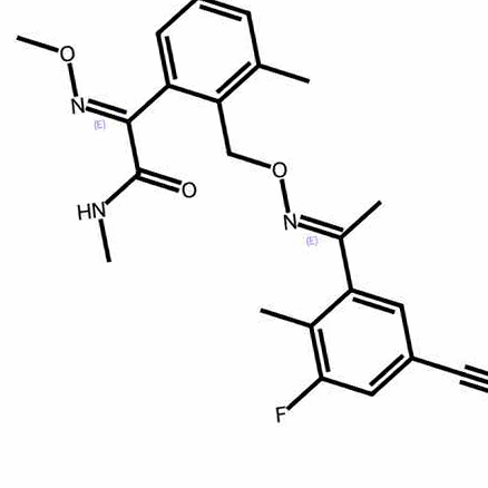 C#Cc1cc(F)c(C)c(/C(C)=N/OCc2c(C)cccc2/C(=N\OC)C(=O)NC)c1